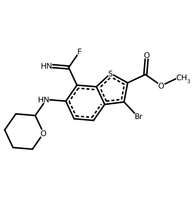 COC(=O)c1sc2c(C(=N)F)c(NC3CCCCO3)ccc2c1Br